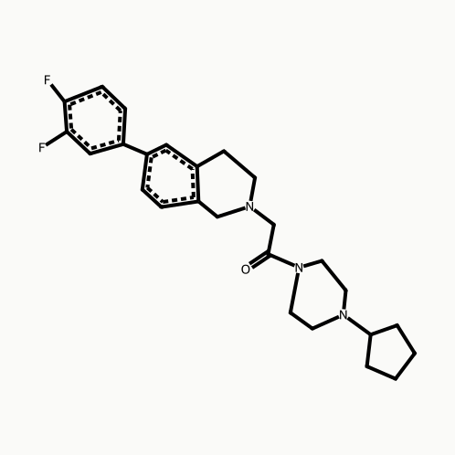 O=C(CN1CCc2cc(-c3ccc(F)c(F)c3)ccc2C1)N1CCN(C2CCCC2)CC1